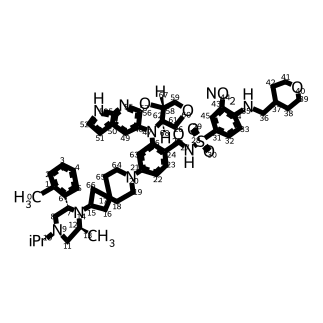 Cc1ccccc1[C@H]1CN(C(C)C)C[C@H](C)N1C1CC2(CCN(c3ccc(C(=O)NS(=O)(=O)c4ccc(NCC5CCOCC5)c([N+](=O)[O-])c4)c(N4c5cc6cc[nH]c6nc5O[C@@H]5COC[C@H]54)c3)CC2)C1